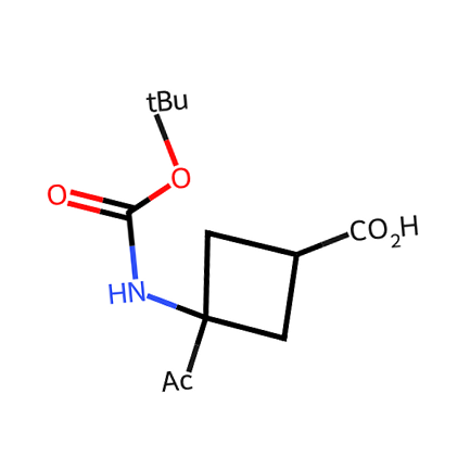 CC(=O)C1(NC(=O)OC(C)(C)C)CC(C(=O)O)C1